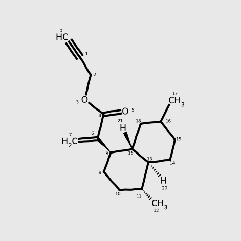 C#CCOC(=O)C(=C)[C@@H]1CC[C@@H](C)[C@@H]2CCC(C)C[C@H]21